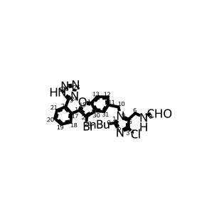 CCCCc1nc(Cl)c(CNC=O)n1Cc1ccc2oc(-c3ccccc3-c3nnn[nH]3)c(Br)c2c1